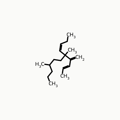 C=C(/C=C/C)C(C)(/C=C\CC)CCC(C)CCC